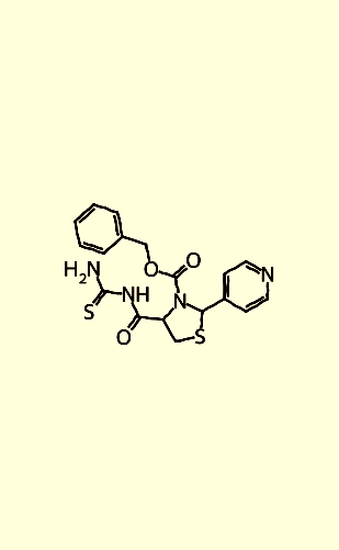 NC(=S)NC(=O)C1CSC(c2ccncc2)N1C(=O)OCc1ccccc1